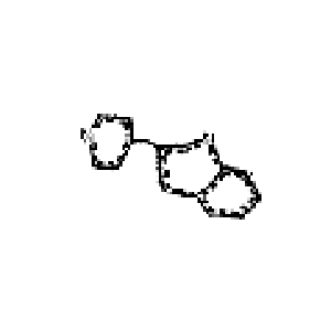 [c]1cccc2cc(-c3ccncc3)cnc12